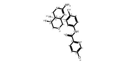 NC1=N[C@@]2(c3cc(NC(=O)c4ccc(Cl)cn4)ccc3F)COC[C@@H](F)[C@H]2CS1